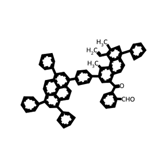 C=Cc1c(C)cc(-c2ccccc2)c2ccc3c(C(=O)c4ccccc4C=O)cc(-c4ccc(-c5cc(-c6ccccc6)c6ccc7c(-c8ccccc8)cc(-c8ccccc8)c8ccc5c6c78)cc4)c(C)c3c12